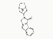 CN1C2CCC1CC(N1Cc3cc4ccccc4n3C1=O)C2